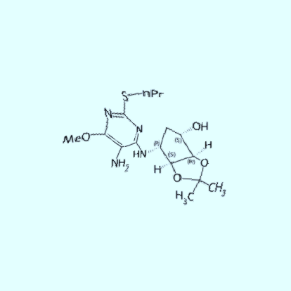 CCCSc1nc(N[C@@H]2C[C@H](O)[C@H]3OC(C)(C)O[C@H]32)c(N)c(OC)n1